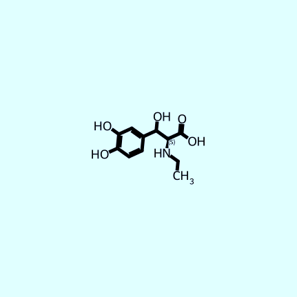 CCN[C@H](C(=O)O)C(O)c1ccc(O)c(O)c1